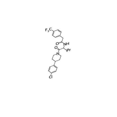 CC(C)C(NC(=O)Cc1ccc(C(F)(F)F)cc1)C(=O)N1CCC(c2ccc(Cl)cc2)CC1